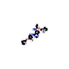 C=CC(=O)Nc1cc2c(Nc3ccc(OCc4ccccn4)c(Cl)c3)ncnc2cc1OCC[C@H]1CCCN1C